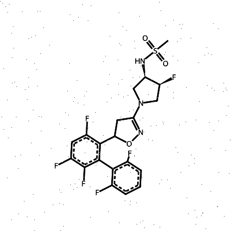 CS(=O)(=O)N[C@@H]1CN(C2=NOC(c3c(F)cc(F)c(F)c3-c3c(F)cccc3F)C2)C[C@@H]1F